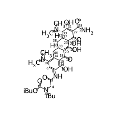 CC(C)COC(=O)N(CC(=O)Nc1cc(N(C)C)c2c(c1O)C(=O)C1=C(O)[C@]3(O)C(=O)C(C(N)=O)=C(O)[C@@H](N(C)C)[C@@H]3C[C@@H]1C2)C(C)(C)C